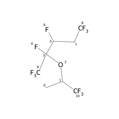 CC(OC(F)(C(F)CC(F)(F)F)C(F)(F)F)C(F)(F)F